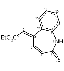 CCOC(=O)C=C1C=CC(=S)Nc2ccccc21